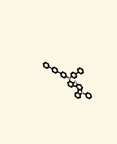 c1ccc(-c2ccc(-c3ccc(N(c4ccc(-c5ccccc5)cc4)c4cccc5c4oc4ccc6c(c7ccccc7n6-c6ccccc6)c45)cc3)cc2)cc1